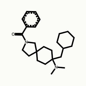 CN(C)C1(CC2CCCCC2)CCC2(CCN(C(=O)c3ccccc3)C2)CC1